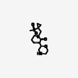 CS(=O)(=O)C1(CN2CCC=C(C3CNCCO3)C2=O)CC1